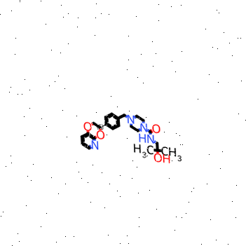 CC(C)(O)CNC(=O)N1CCN(Cc2ccc([C@H]3COc4cccnc4O3)cc2)CC1